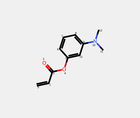 C=CC(=O)Oc1cccc(N(C)C)c1